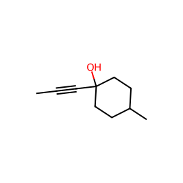 CC#CC1(O)CCC(C)CC1